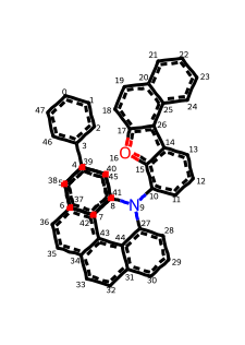 c1ccc(-c2cccc(N(c3cccc4c3oc3ccc5ccccc5c34)c3cccc4ccc5ccc6ccccc6c5c34)c2)cc1